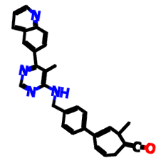 Cc1c(NCc2ccc(C3=CC(C)C(=C=O)CC=C3)cc2)ncnc1-c1ccc2ncccc2c1